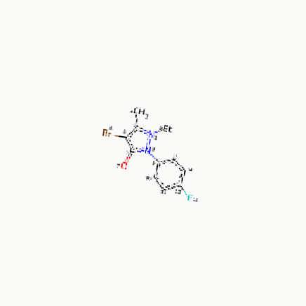 CCn1c(C)c(Br)c(=O)n1-c1ccc(F)cc1